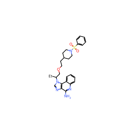 CCC(COCCC1CCN(S(=O)(=O)c2ccccc2)CC1)n1cnc2c(N)nc3ccccc3c21